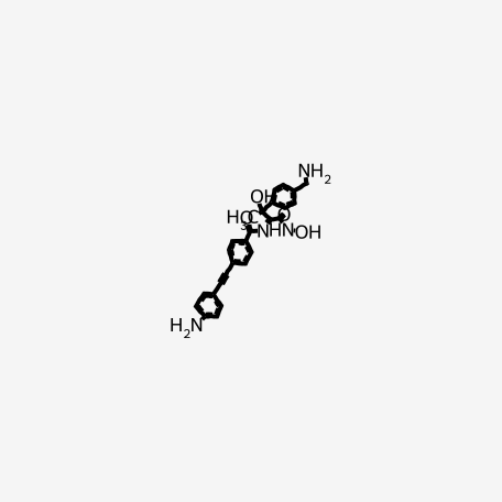 CC(O)(/C(=N\C(=O)c1ccc(C#Cc2ccc(N)cc2)cc1)C(=O)NO)c1ccc(CN)cc1